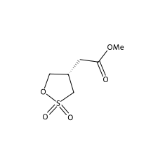 COC(=O)C[C@H]1COS(=O)(=O)C1